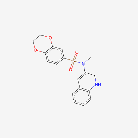 CN(C1=Cc2ccccc2NC1)S(=O)(=O)c1ccc2c(c1)OCCO2